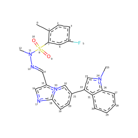 Cc1ccc(F)cc1S(=O)(=O)N(C)N=Cc1cnc2ccc(-c3cn(C)c4ccccc34)cn12